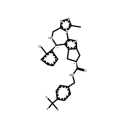 Cc1nnc2n1-c1sc3c(c1[C@@H](c1ccccc1Cl)NC2)C[C@H](C(=O)NCc1ccc(C(F)(F)F)cc1)C3